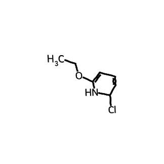 CCOC1=CC=CC(Cl)N1